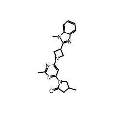 Cc1nc(N2CC(c3nc4ccccc4n3C)C2)cc(N2CC(C)CC2=O)n1